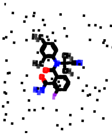 Cc1ccc(N(C(=O)c2cccc(I)c2C(N)=O)C(C)(C)C#N)c(C)c1